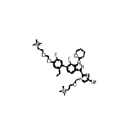 CCc1cc(OCOCC[Si](C)(C)C)c(F)cc1-c1ccc2c(-c3nc(Br)cn3COCC[Si](C)(C)C)nn(C3CCCCO3)c2c1F